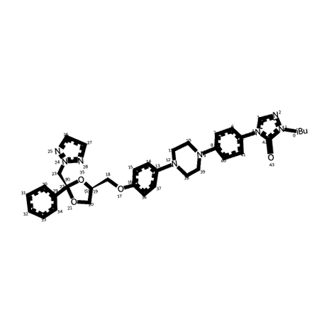 CCC(C)n1ncn(-c2ccc(N3CCN(c4ccc(OC[C@H]5CO[C@](Cn6nccn6)(c6ccccc6)O5)cc4)CC3)cc2)c1=O